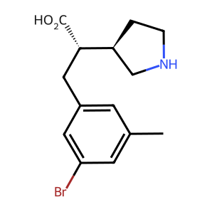 Cc1cc(Br)cc(C[C@H](C(=O)O)[C@H]2CCNC2)c1